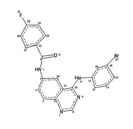 O=C(Nc1ccc2ncnc(Nc3cccc(Br)c3)c2c1)c1ccc(F)cc1